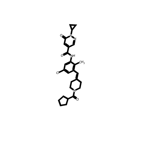 Cc1c(C=C2CCN(C(=O)C3CCCC3)CC2)cc(Cl)cc1NC(=O)c1cnn(C2CC2)c(=O)c1